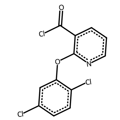 O=C(Cl)c1cccnc1Oc1cc(Cl)ccc1Cl